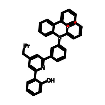 CC(C)Cc1cc(-c2cccc(N(c3ccccn3)c3ccccc3-c3ccccc3)c2)nc(-c2ccccc2O)c1